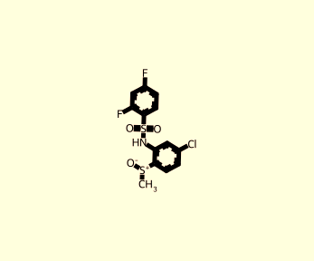 C[S+]([O-])c1ccc(Cl)cc1NS(=O)(=O)c1ccc(F)cc1F